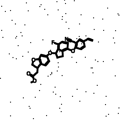 C=Cc1ccc(Oc2ccc(F)c3c2CCC3Oc2ccc3c(c2)OCC3CC(=O)OC)c(C#N)c1